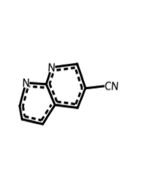 N#Cc1cnc2ncccc2c1